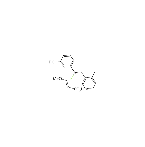 COC=CC(=O)O.Cc1ccccc1C=C(F)c1cccc(C(F)(F)F)c1